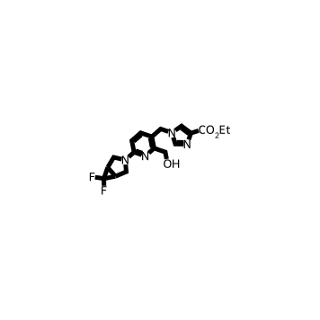 CCOC(=O)c1cn(Cc2ccc(N3CC4C(C3)C4(F)F)nc2CO)cn1